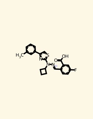 Cc1cccc(-c2csc(N(/N=C/c3ccc(F)cc3C(=O)O)C3CCC3)n2)c1